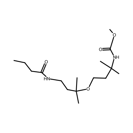 CCCC(=O)NCCC(C)(C)OCCC(C)(C)NC(=O)OC